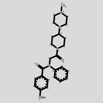 COc1ccc(C(=O)N(CC(=O)N2CCC(N3CCN(C)CC3)CC2)c2ccccc2)cc1